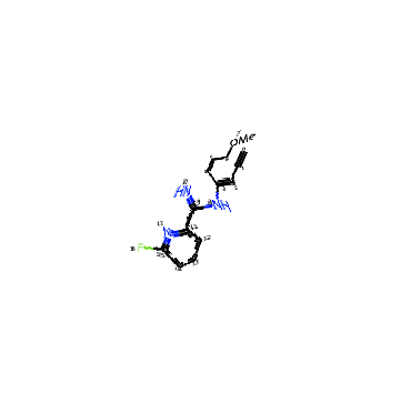 C#C/C=C(\C=C/COC)NC(=N)c1cccc(F)n1